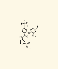 COc1ccc(Oc2cc(C(F)(F)C(F)(F)F)ccc2C(=O)Nc2cccc(C(N)=O)c2)c(OC)c1